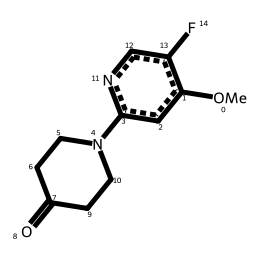 COc1cc(N2CCC(=O)CC2)ncc1F